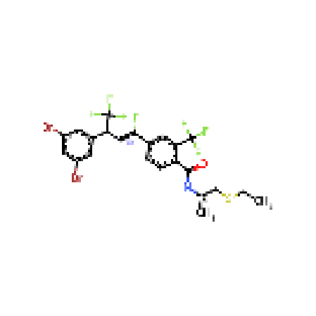 CCSC[C@@H](C)NC(=O)c1ccc(/C(F)=C/C(c2cc(Br)cc(Br)c2)C(F)(F)F)cc1C(F)(F)F